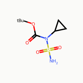 CC(C)(C)OC(=O)N(C1CC1)S(N)(=O)=O